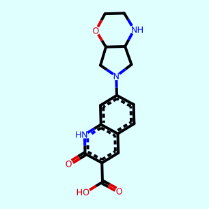 O=C(O)c1cc2ccc(N3CC4NCCOC4C3)cc2[nH]c1=O